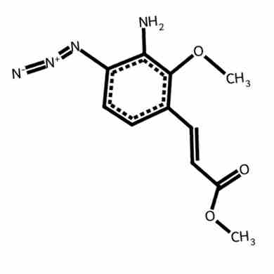 COC(=O)C=Cc1ccc(N=[N+]=[N-])c(N)c1OC